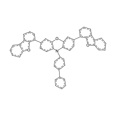 c1ccc(-c2ccc(N3c4ccc(-c5cccc6c5oc5ccccc56)cc4Oc4cc(-c5cccc6c5oc5ccccc56)ccc43)cc2)cc1